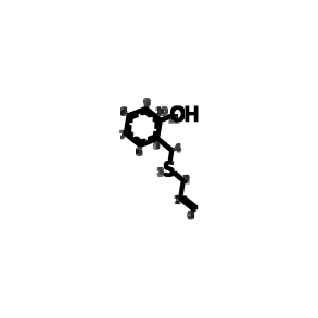 C=CCSCc1ccccc1O